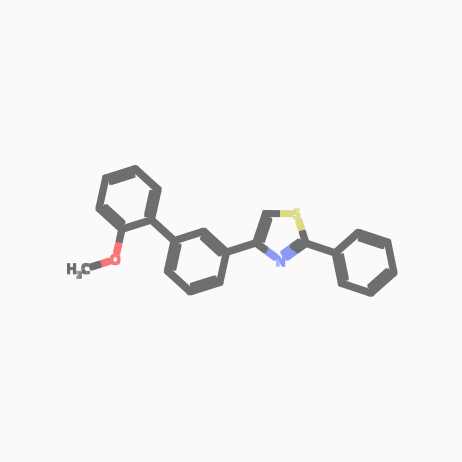 COc1ccccc1-c1cccc(-c2csc(-c3ccccc3)n2)c1